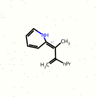 C=C(CCC)/C(C)=C1\C=CC=CN1